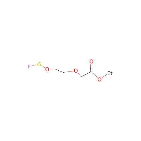 CCOC(=O)COCCOSI